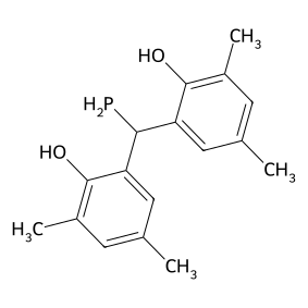 Cc1cc(C)c(O)c(C(P)c2cc(C)cc(C)c2O)c1